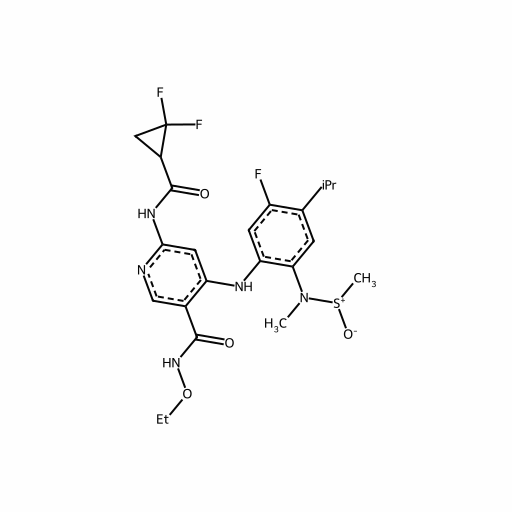 CCONC(=O)c1cnc(NC(=O)C2CC2(F)F)cc1Nc1cc(F)c(C(C)C)cc1N(C)[S+](C)[O-]